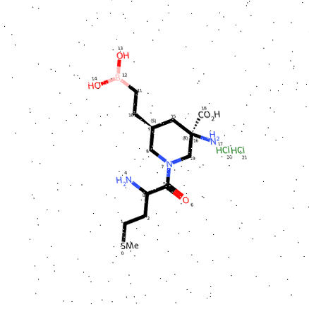 CSCCC(N)C(=O)N1C[C@@H](CCB(O)O)C[C@](N)(C(=O)O)C1.Cl.Cl